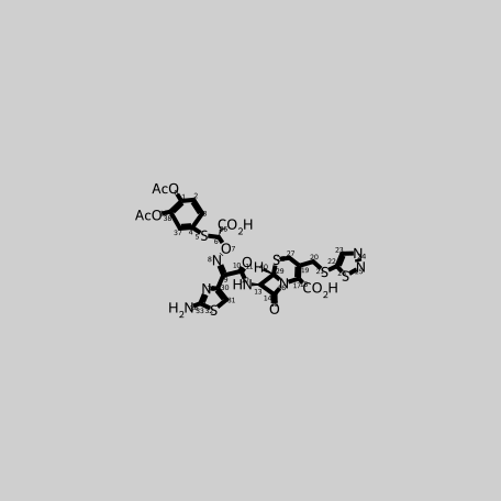 CC(=O)Oc1ccc(S[C@@H](O/N=C(\C(=O)N[C@@H]2C(=O)N3C(C(=O)O)=C(CSc4cnns4)CS[C@@H]23)c2csc(N)n2)C(=O)O)cc1OC(C)=O